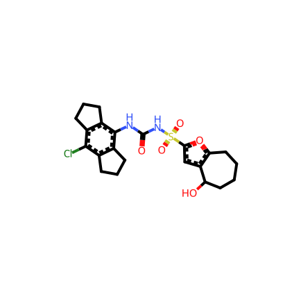 O=C(Nc1c2c(c(Cl)c3c1CCC3)CCC2)NS(=O)(=O)c1cc2c(o1)CCCCC2O